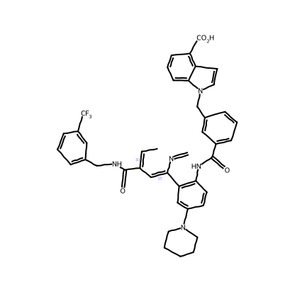 C=N/C(=C\C(=C/C)C(=O)NCc1cccc(C(F)(F)F)c1)c1cc(N2CCCCC2)ccc1NC(=O)c1cccc(Cn2ccc3c(C(=O)O)cccc32)c1